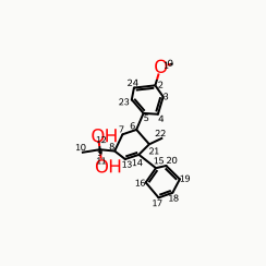 COc1ccc(C2CC(C(C)(O)O)C=C(c3ccccc3)C2C)cc1